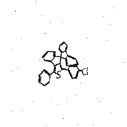 Clc1ccc(-c2sc(-c3ccccc3)c3c2C2(c4ccccc4-c4ccccc42)c2ccccc2-3)cc1